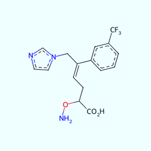 NOC(C/C=C(/Cn1ccnc1)c1cccc(C(F)(F)F)c1)C(=O)O